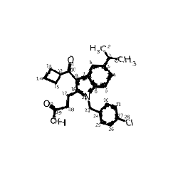 CC(C)c1ccc2c(c1)c(C(=O)C1CCC1)c(CCC(=O)O)n2Cc1ccc(Cl)cc1